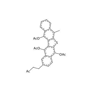 CC(=O)CCc1ccc2c(OC(C)=O)c3sc4c(C)c5ccccc5c(OC(C)=O)c4c3c(OC(C)=O)c2c1